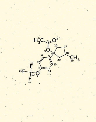 CC(=O)OC1(c2ccc(OC(F)(F)F)cc2)CCC(C)C1